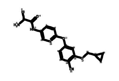 CCC(N)C(=O)Nc1ccc(Oc2ccc(C#N)c(OCC3CC3)c2)nc1